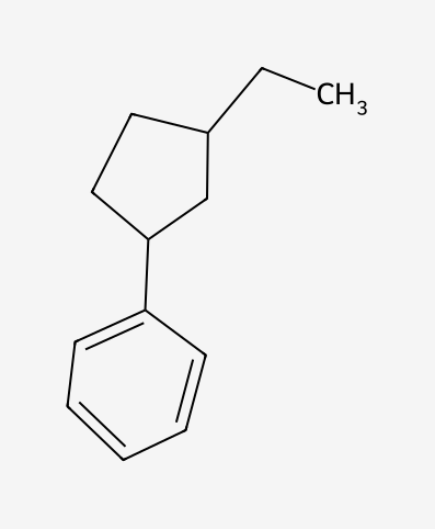 CCC1CCC(c2ccccc2)C1